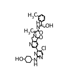 Cc1cccc([C@@H](CO)NC(=O)[C@@H](C)N2Cc3ncc(-c4nc(N[C@H]5CC[C@H](O)CC5)ncc4Cl)cc3C2=O)c1